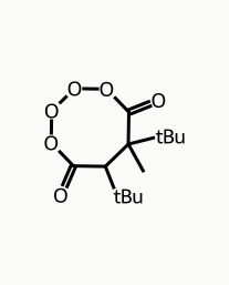 CC(C)(C)C1C(=O)OOOOC(=O)C1(C)C(C)(C)C